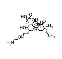 CCC[C@@]1(C)CC[C@H]2[C@@H](CCC3C[C@@H](O)C(C/C=N/OCCN)C[C@@]32C)C1=O.O=C(O)C(=O)O